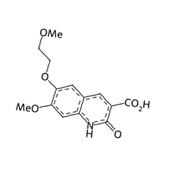 COCCOc1cc2cc(C(=O)O)c(=O)[nH]c2cc1OC